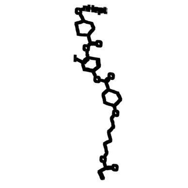 C=CC(=O)OCCCCCCOC1CCC(C(=O)Oc2ccc(OC(=O)C3CCC(OCCCCCCC)CC3)c(I)c2)CC1